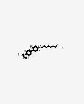 CCCCCCCCOc1ccc(-c2ccc(B(O)O)cc2)c(F)c1